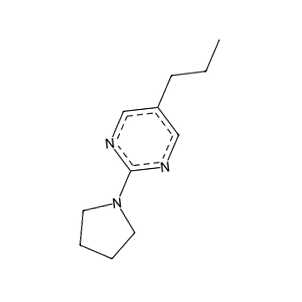 CCCc1cnc(N2CCCC2)nc1